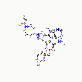 C=CC(=O)N1CCCC(n2cc(-c3c(-c4ccc(Oc5cccc(C)n5)cc4)c4c(N)ncnc4n3C)cn2)CC1